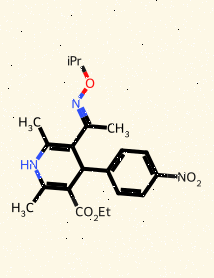 CCOC(=O)C1=C(C)NC(C)=C(C(C)=NOC(C)C)C1c1ccc([N+](=O)[O-])cc1